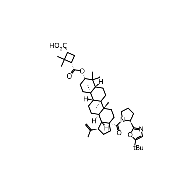 C=C(C)[C@@H]1CC[C@]2(C(=O)N3CCC[C@H]3c3ncc(C(C)(C)C)o3)CC[C@]3(C)[C@H](CC[C@@H]4[C@@]5(C)CC[C@H](OC(=O)[C@H]6C[C@@H](C(=O)O)C6(C)C)C(C)(C)[C@@H]5CC[C@]43C)[C@@H]12